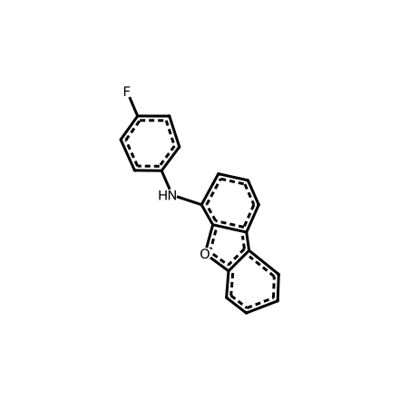 Fc1ccc(Nc2cccc3c2oc2ccccc23)cc1